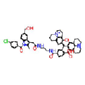 Cc1c(CC(=O)NCCCNC(=O)c2ccc(C(=O)O)c(C3=c4cc5c6c(c4Oc4c3cc3c7c4CCCN7CCC3)CCC[N+]=6CCC5)c2)c2cc(CO)ccc2n1C(=O)c1ccc(Cl)cc1